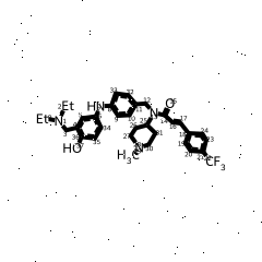 CCN(CC)Cc1cc(Nc2ccc(CN(C(=O)C=Cc3ccc(C(F)(F)F)cc3)C3CCN(C)CC3)cc2)ccc1O